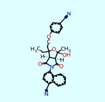 CCC1(CCOc2ccc(C#N)cc2)OC(C)(O)[C@H]2C(=O)N(c3ccc(C#N)c4ccccc34)C(=O)[C@H]21